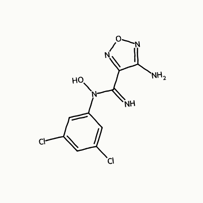 N=C(c1nonc1N)N(O)c1cc(Cl)cc(Cl)c1